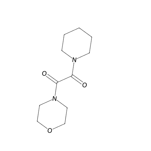 O=C(C(=O)N1CCOCC1)N1CCCCC1